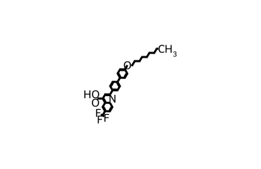 CCCCCCCCCOc1ccc(-c2ccc(-c3cc(C(=O)O)c4cc(C(F)(F)F)ccc4n3)cc2)cc1